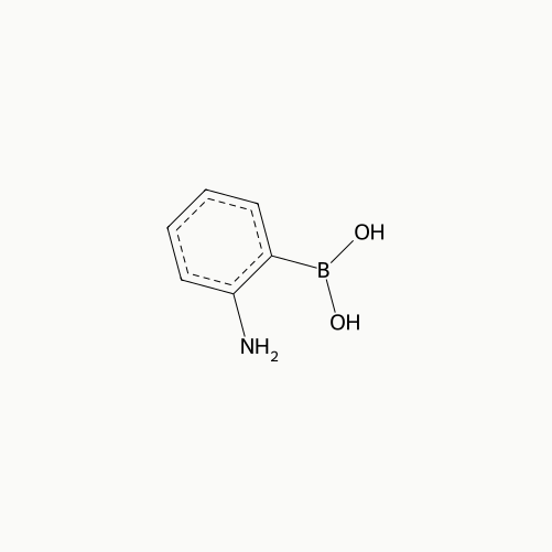 Nc1ccccc1B(O)O